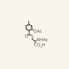 CC(=O)N[C@@H](CSC(=O)c1ccc(C)cc1OC(C)=O)C(=O)O